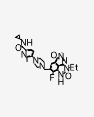 CCN1C(=O)Nc2c(F)c(CN3CCN(c4ccc(C(=O)NC5CC5)nc4C)CC3)cc3c(=O)n(C)nc1c23